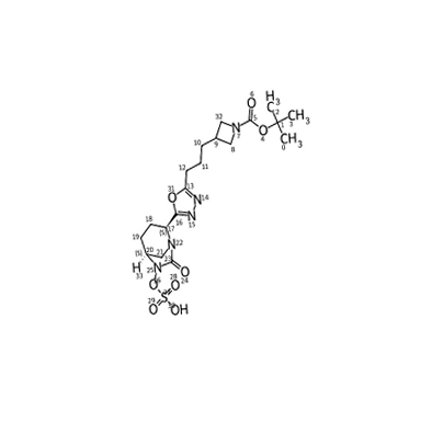 CC(C)(C)OC(=O)N1CC(CCCc2nnc([C@@H]3CC[C@H]4CN3C(=O)N4OS(=O)(=O)O)o2)C1